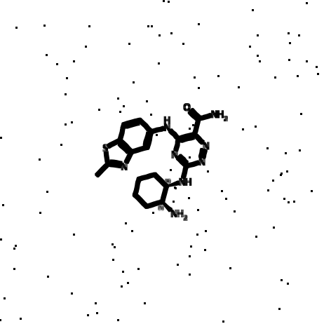 Cc1nc2cc(Nc3nc(N[C@@H]4CCCC[C@@H]4N)nnc3C(N)=O)ccc2s1